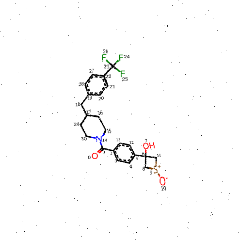 O=C(c1ccc(C2(O)C[S+]([O-])C2)cc1)N1CCC(Cc2ccc(C(F)(F)F)cc2)CC1